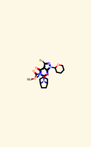 Cn1c(N2C3CCC2CC(C)(NC(=O)OC(C)(C)C)C3)nc2c(c(Br)nn2C2CCCCO2)c1=O